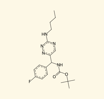 CCCCNc1ncc(C(NC(=O)OC(C)(C)C)c2ccc(F)cc2)nn1